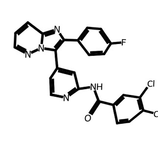 O=C(Nc1cc(-c2c(-c3ccc(F)cc3)nc3cccnn23)ccn1)c1ccc(Cl)c(Cl)c1